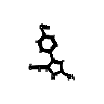 COc1ccc(C2=NC(C)NC2=C=O)cc1